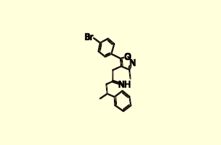 Cc1noc(-c2ccc(Br)cc2)c1CC(=N)CC(C)c1ccccc1